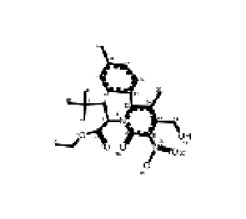 CCOC(=O)C(CC(C)(C)C)n1c(-c2ccc(C)cc2)c(C)c(CO)c([N+](=O)[O-])c1=O